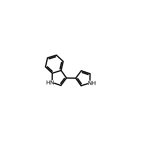 c1ccc2c(-c3cc[nH]c3)c[nH]c2c1